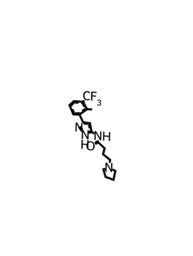 Cc1c(-c2cc(NC(=O)CCCN3CCCC3)[nH]n2)cccc1C(F)(F)F